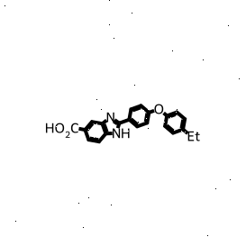 CCc1ccc(Oc2ccc(-c3nc4cc(C(=O)O)ccc4[nH]3)cc2)cc1